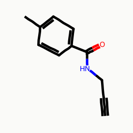 C#CCNC(=O)c1ccc(C)cc1